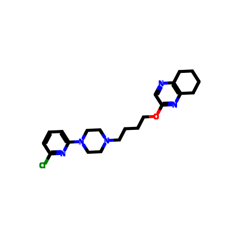 Clc1cccc(N2CCN(CCCCOc3cnc4c(n3)CCCC4)CC2)n1